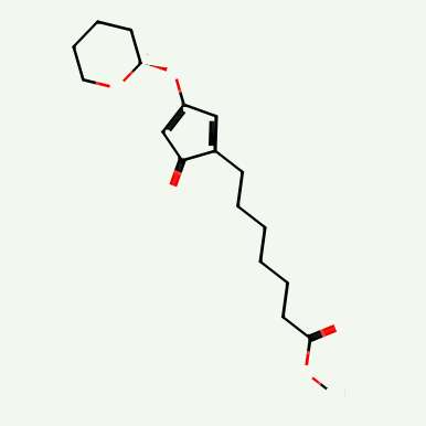 COC(=O)CCCCCCC1=CC(O[C@@H]2CCCCO2)=CC1=O